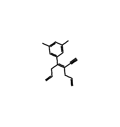 C#CC(CC=C)=C(CC=C)c1cc(C)cc(C)c1